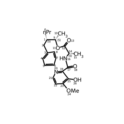 CCC[C@@H](Cc1ccccc1)[C@H](C)OC(=O)[C@H](C)NC(=O)c1nccc(OC)c1O